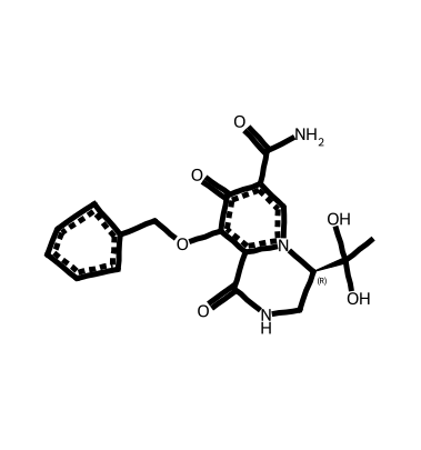 CC(O)(O)[C@H]1CNC(=O)c2c(OCc3ccccc3)c(=O)c(C(N)=O)cn21